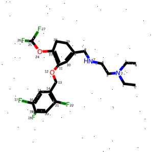 CCN(CC)CCNCC1=CC(OCc2cc(F)c(F)cc2F)=C(OC(F)F)CC1